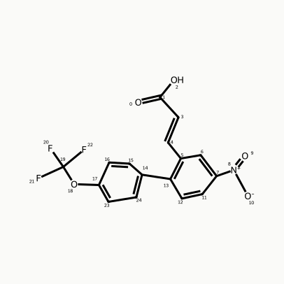 O=C(O)C=Cc1cc([N+](=O)[O-])ccc1-c1ccc(OC(F)(F)F)cc1